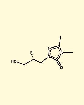 Cc1nn(C[C@@H](F)CO)c(=O)n1C